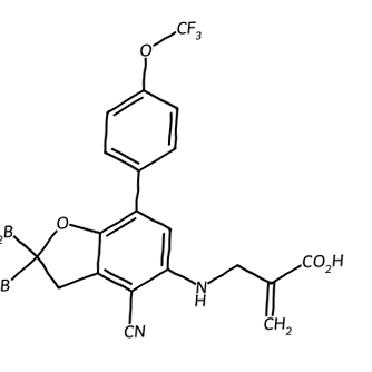 BC1(B)Cc2c(C#N)c(NCC(=C)C(=O)O)cc(-c3ccc(OC(F)(F)F)cc3)c2O1